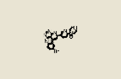 Nc1ncnc2nc(-c3ccc([N+]4([O-])CCOCC4)nc3)cc(-c3cccc(Br)c3)c12